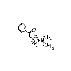 CN(C)c1nc(CC(=O)c2ccccc2)no1